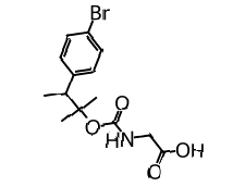 CC(c1ccc(Br)cc1)C(C)(C)OC(=O)NCC(=O)O